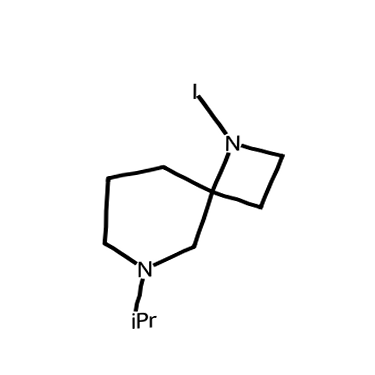 CC(C)N1CCCC2(CCN2I)C1